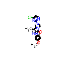 COc1ccc(NC(=O)N2CCN(c3nccc(Cl)n3)CC2C(C)C)cc1